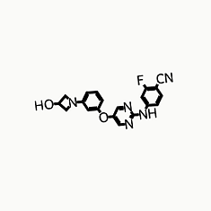 N#Cc1ccc(Nc2ncc(Oc3cccc(N4CC(O)C4)c3)cn2)cc1F